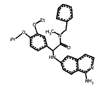 CCOc1cc(C(Nc2ccc3c(N)nccc3c2)C(=O)N(C)Cc2ccccc2)ccc1OC(C)C